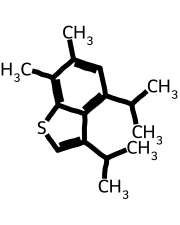 Cc1cc(C(C)C)c2c(C(C)C)csc2c1C